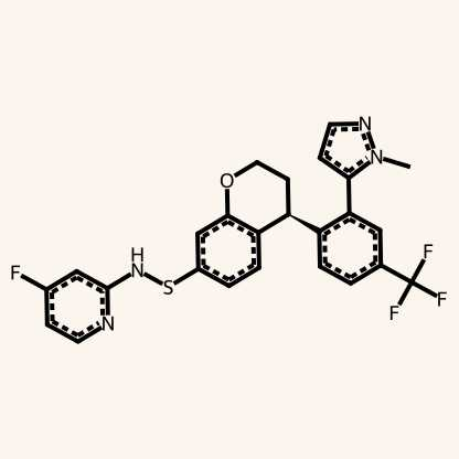 Cn1nccc1-c1cc(C(F)(F)F)ccc1[C@@H]1CCOc2cc(SNc3cc(F)ccn3)ccc21